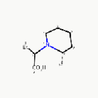 CCC(C(=O)O)N1CCCC[C@@H]1C